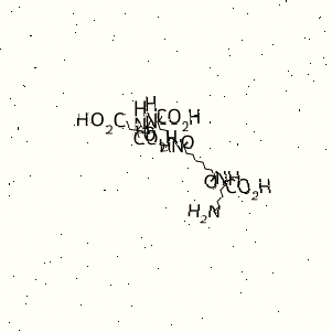 NCCCCC(NC(=O)CCCCCCC(=O)NCCCCC(NC(=O)NC(CCC(=O)O)C(=O)O)C(=O)O)C(=O)O